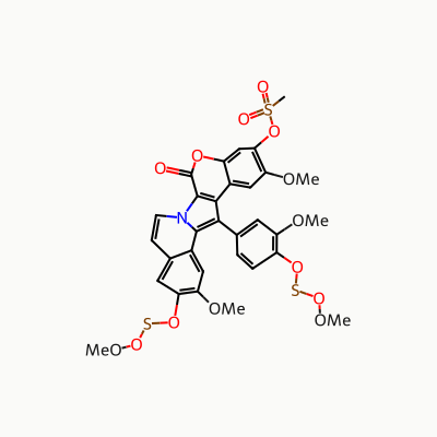 COOSOc1ccc(-c2c3c4cc(OC)c(OS(C)(=O)=O)cc4oc(=O)c3n3ccc4cc(OSOOC)c(OC)cc4c23)cc1OC